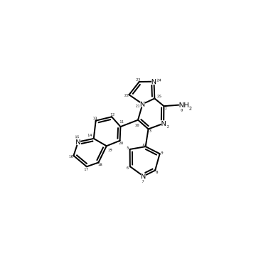 Nc1nc(-c2ccncc2)c(-c2ccc3ncccc3c2)n2ccnc12